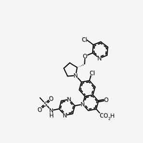 CS(=O)(=O)Nc1cnc(-n2cc(C(=O)O)c(=O)c3cc(Cl)c(N4CCC[C@@H]4COc4ncccc4Cl)cc32)cn1